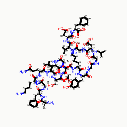 CC(C)C[C@H](NC(=O)CNC(=O)[C@H](Cc1ccc(O)cc1)NC(=O)[C@H](CCCCN)NC(=O)[C@H](C)NC(=O)[C@@H](NC(=O)[C@H](C)NC(=O)[C@H](CC(=O)O)NC(=O)[C@H](CO)NC(=O)[C@H](CC(C)C)NC(=O)[C@H](CCC(N)=O)NC(=O)[C@H](CCCCN)NC(=O)[C@H](C)NC(=O)[C@H](Cc1ccccc1)NC(=O)[C@H](C)N)C(C)C)C(=O)N[C@@H](CC(=O)O)C(=O)NCC(=O)N[C@H](C(=O)N[C@@H](CC(=O)O)C(=O)N[C@@H](Cc1ccccc1)C(=O)O)C(C)C